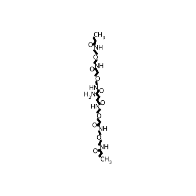 CCCC(=O)NCCOCCNC(=O)CCOCCNC(=O)CC[C@H](N)C(=O)NCCOCCC(=O)NCCOCCNC(=O)CCC